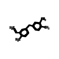 C=Cc1cc(Cc2ccc(C)c(C)c2)ccc1C